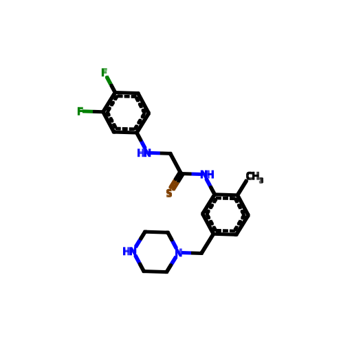 Cc1ccc(CN2CCNCC2)cc1NC(=S)CNc1ccc(F)c(F)c1